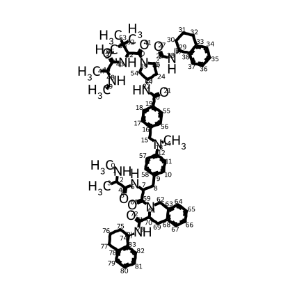 CNC(C)C(=O)NC(Cc1ccc(N(C)Cc2ccc(C(=O)N[C@H]3C[C@@H](C(=O)N[C@@H]4CCCc5ccccc54)N(C(=O)C(NC(=O)C(C)NC)C(C)(C)C)C3)cc2)cc1)C(=O)N1Cc2ccccc2CC1C(=O)N[C@@H]1CCCc2ccccc21